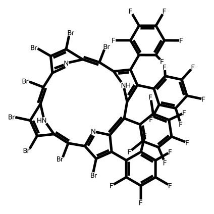 Fc1c(F)c(F)c(C2=C(Br)c3nc2c(-c2c(F)c(F)c(F)c(F)c2F)c2[nH]c(c(Br)c4nc(c(Br)c5[nH]c(c3Br)c(Br)c5Br)C(Br)=C4Br)c(-c3c(F)c(F)c(F)c(F)c3F)c2-c2c(F)c(F)c(F)c(F)c2F)c(F)c1F